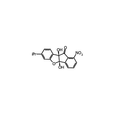 CC(C)c1ccc2c(c1)O[C@@]1(O)c3cccc([N+](=O)[O-])c3C(=O)[C@@]21O